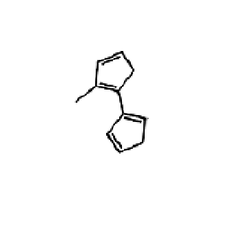 CC1=C(C2=[C]CC=C2)CC=C1